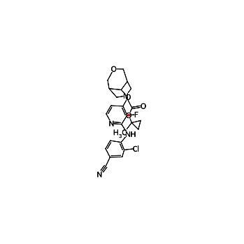 CC1(OC(=O)N2CC3COCC(C2)C3Oc2ccnc(Nc3ccc(C#N)cc3Cl)c2F)CC1